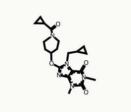 Cn1c(=O)c2c(nc(OC3CCN(C(=O)C4CC4)CC3)n2CC2CC2)n(C)c1=O